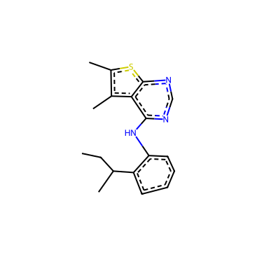 CCC(C)c1ccccc1Nc1ncnc2sc(C)c(C)c12